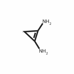 NC1=C(N)[C]1